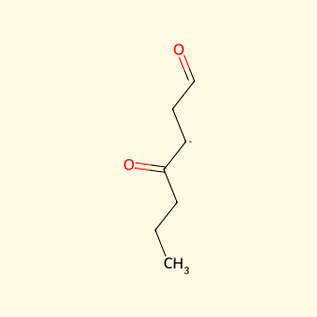 CCCC(=O)[CH]CC=O